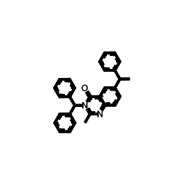 Cc1nc2ccc(C(C)c3ccccc3)cc2c(=O)n1C(c1ccccc1)c1ccccc1